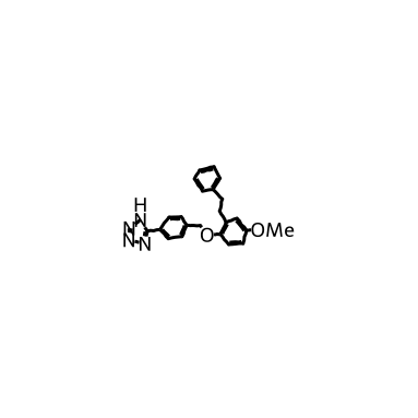 COc1ccc(OCc2ccc(-c3nnn[nH]3)cc2)c(CCc2ccccc2)c1